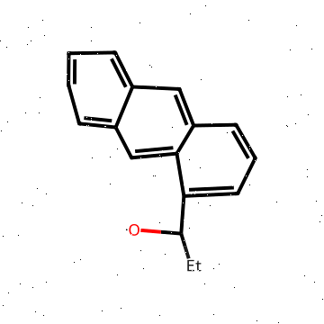 CCC([O])c1cccc2cc3ccccc3cc12